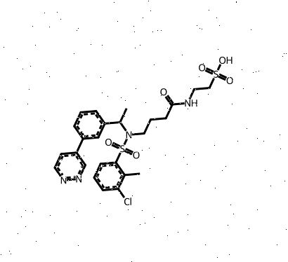 Cc1c(Cl)cccc1S(=O)(=O)N(CCCC(=O)NCCS(=O)(=O)O)C(C)c1cccc(-c2ccnnc2)c1